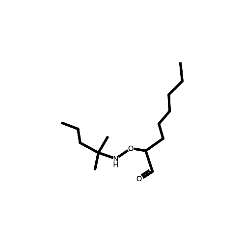 CCCCCCC(C=O)ONC(C)(C)CCC